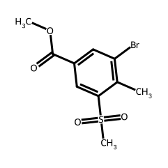 COC(=O)c1cc(Br)c(C)c(S(C)(=O)=O)c1